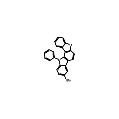 CC(C)(C)c1ccc2c(c1)c1ccc3oc4ccccc4c3c1n2-c1ccccc1